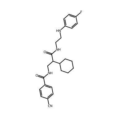 N#Cc1ccc(C(=O)NCC(C(=O)NCCNc2ccc(F)cc2)C2CCCCC2)cc1